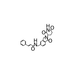 O=C(/C=C/c1ccccc1)NCc1ccc2c(c1)CN(C1CCC(=O)NC1=O)C2=O